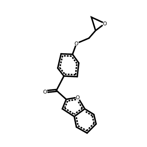 O=C(c1ccc(OCC2CO2)cc1)c1cc2ccccc2o1